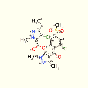 CCc1nn(C)c(C(=O)Oc2c(C(=O)c3ccc(S(C)(=O)=O)cc3Cl)c(C)nn2C)c1Cl